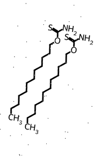 CCCCCCCCCCCCOC(N)=S.CCCCCCCCCCCCOC(N)=S